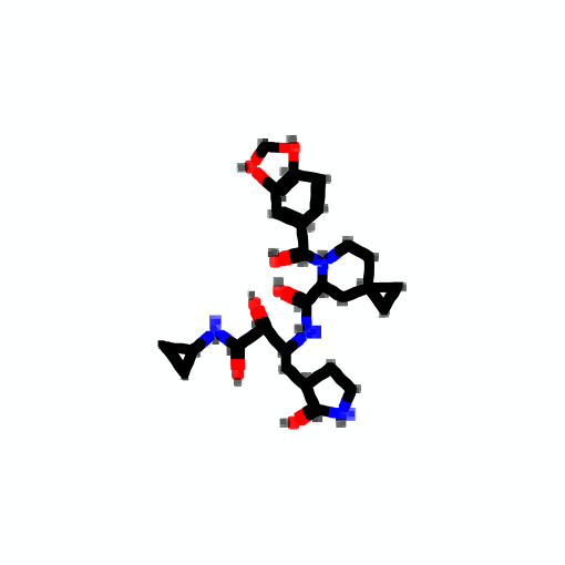 O=C(NC1CC1)C(=O)C(CC1CCNC1=O)NC(=O)C1CC2(CCN1C(=O)c1ccc3c(c1)OCO3)CC2